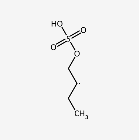 CC[CH]COS(=O)(=O)O